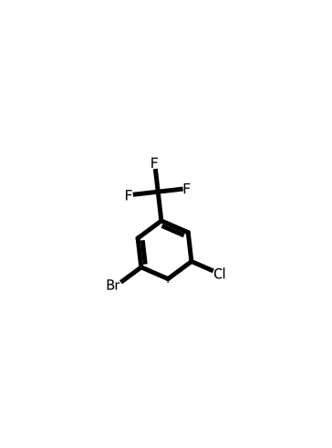 FC(F)(F)C1=CC(Cl)[CH]C(Br)=C1